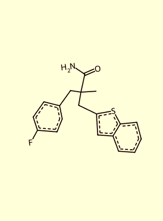 CC(Cc1ccc(F)cc1)(Cc1cc2ccccc2s1)C(N)=O